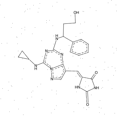 O=C1NC(=O)/C(=C/c2cnn3c(NC4CC4)nc(NC(CCO)c4ccccc4)nc23)N1